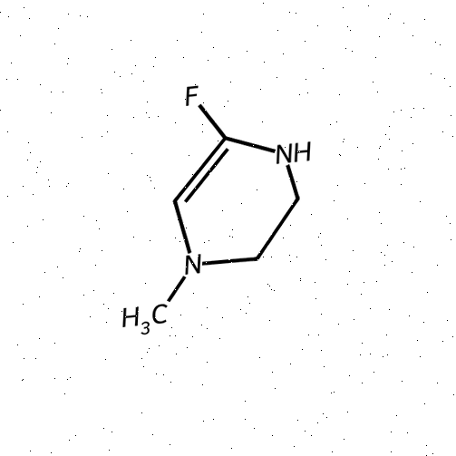 CN1C=C(F)NCC1